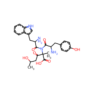 CC(O)CC(=O)C(C)(C(=O)O)N(C(=O)C(N)Cc1ccc(O)cc1)C(=O)C(N)Cc1c[nH]c2ccccc12